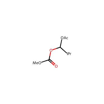 COC(=O)OC(OC(C)=O)C(C)C